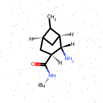 CC[C@@H](C)NC(=O)[C@H]1C[C@@H]2C[C@@H](C2C)[C@@H]1N